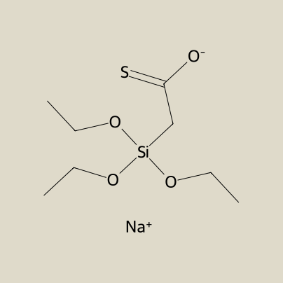 CCO[Si](CC([O-])=S)(OCC)OCC.[Na+]